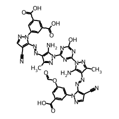 Cc1nn(-c2nc(O)nc(-n3nc(C)c(N=Nc4c(C#N)cnn4-c4cc(C(=O)O)cc(C(=O)O)c4)c3N)n2)c(N)c1N=Nc1c(C#N)cnn1-c1cc(OC=O)cc(C(=O)O)c1